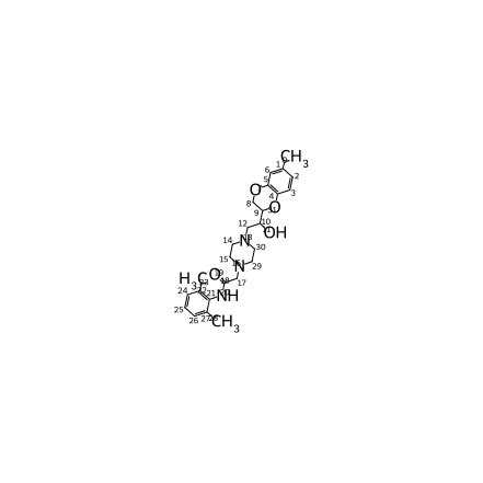 Cc1ccc2c(c1)OCC(C(O)CN1CCN(CC(=O)Nc3c(C)cccc3C)CC1)O2